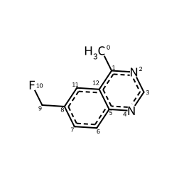 Cc1ncnc2ccc(CF)cc12